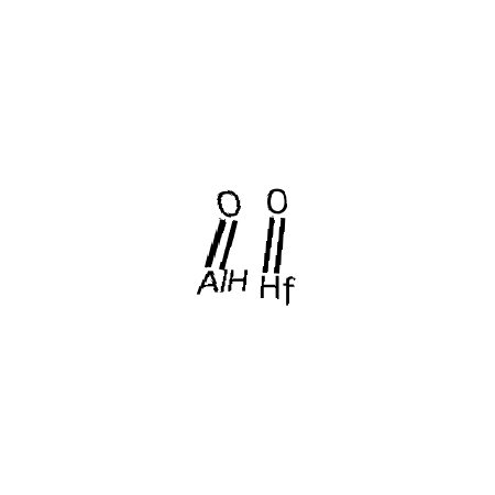 [O]=[AlH].[O]=[Hf]